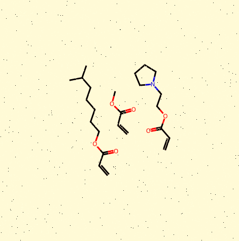 C=CC(=O)OC.C=CC(=O)OCCCCCC(C)C.C=CC(=O)OCCN1CCCC1